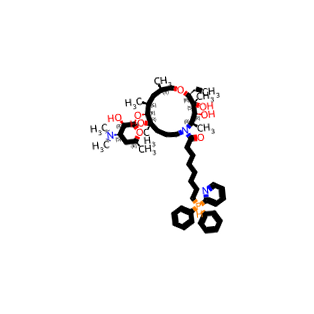 CC[C@H]1OC[C@H](C)C[C@H](C)[C@@H](O[C@@H]2O[C@H](C)C[C@H](N(C)C)[C@H]2O)[C@](C)(O)CCCN(C(=O)CCCCCCC[PH](c2ccccc2)(c2ccccc2)c2ccccn2)[C@H](C)[C@@H](O)[C@]1(C)O